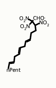 CCCCC/C=C/C/C=C/C/C=C/CCC([N+](=O)[O-])C([C]=O)([N+](=O)[O-])[N+](=O)[O-]